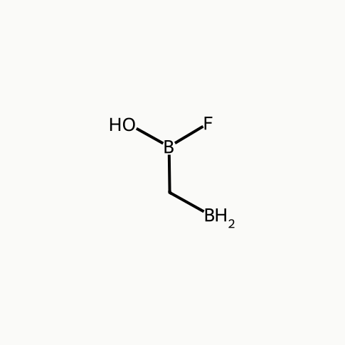 BCB(O)F